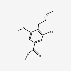 C/C=C/Cc1c(O)cc(C(=O)OC)cc1OC